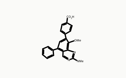 CNc1ncc2c(-c3ccccc3)cc(-c3ccc(C(=O)O)cc3)c(OC)c2n1